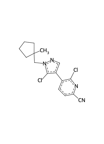 CC1(Cn2ncc(-c3ccc(C#N)nc3Cl)c2Cl)CCCC1